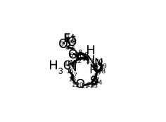 CCS(=O)(=O)CCOc1ccc2cc1CN(C)C/C=C/COCC1=CCC(S1)c1ccnc(n1)N2